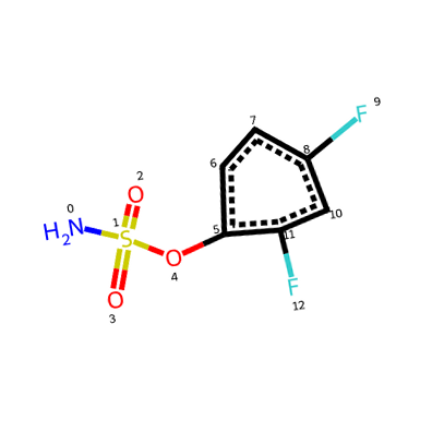 NS(=O)(=O)Oc1ccc(F)cc1F